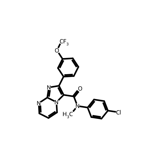 CN(C(=O)c1c(-c2cccc(OC(F)(F)F)c2)nc2ncccn12)c1ccc(Cl)cc1